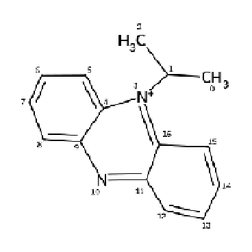 CC(C)[n+]1c2ccccc2nc2ccccc21